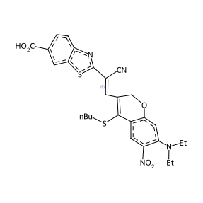 CCCCSC1=C(/C=C(\C#N)c2nc3ccc(C(=O)O)cc3s2)COc2cc(N(CC)CC)c([N+](=O)[O-])cc21